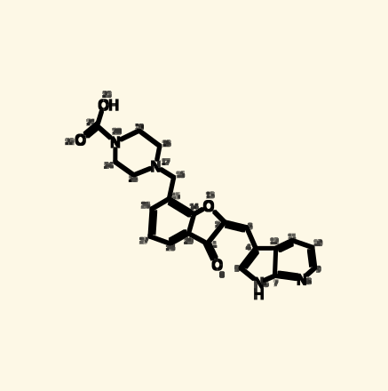 O=C1C(=Cc2c[nH]c3ncccc23)Oc2c(CN3CCN(C(=O)O)CC3)cccc21